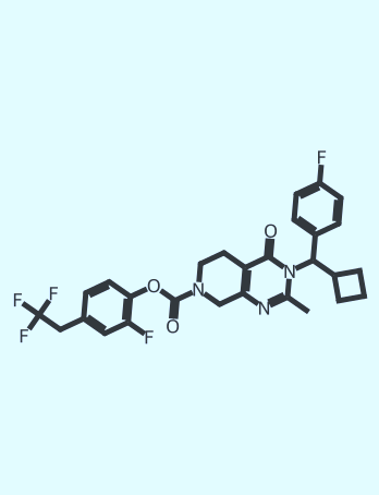 Cc1nc2c(c(=O)n1C(c1ccc(F)cc1)C1CCC1)CCN(C(=O)Oc1ccc(CC(F)(F)F)cc1F)C2